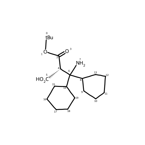 CC(C)(C)OC(=O)[C@@H](C(=O)O)C(N)(C1CCCCC1)C1CCCCC1